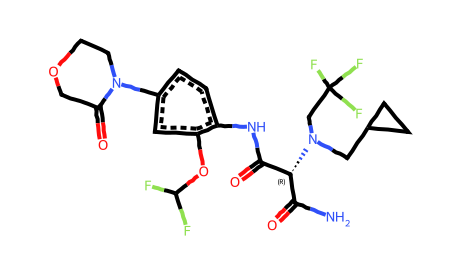 NC(=O)[C@H](C(=O)Nc1ccc(N2CCOCC2=O)cc1OC(F)F)N(CC1CC1)CC(F)(F)F